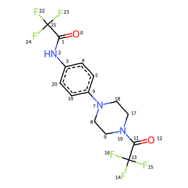 O=C(Nc1ccc(N2CCN(C(=O)C(F)(F)F)CC2)cc1)C(F)(F)F